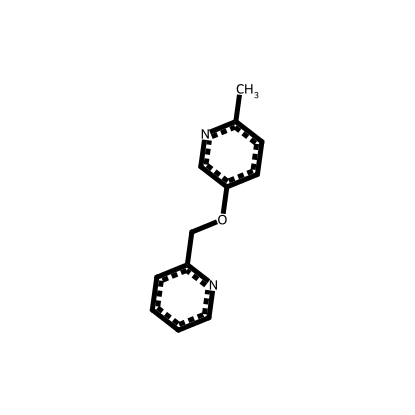 Cc1ccc(OCc2ccccn2)cn1